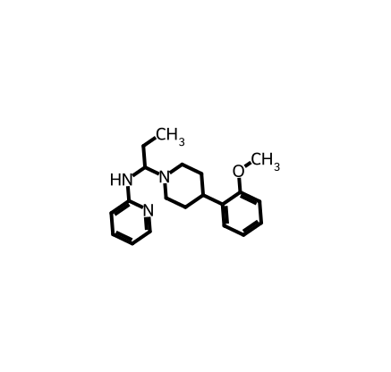 CCC(Nc1ccccn1)N1CCC(c2ccccc2OC)CC1